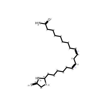 NC(=O)CCCCCCC/C=C\C/C=C\CCCCCC1NC(=S)CS1